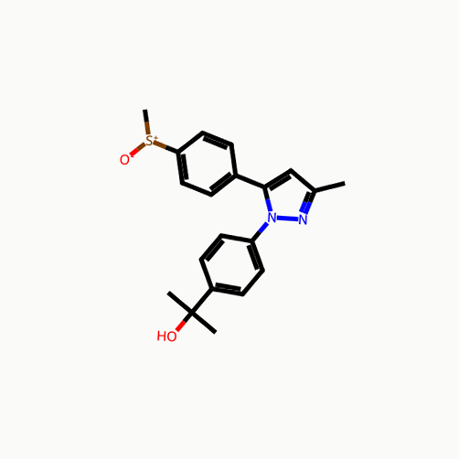 Cc1cc(-c2ccc([S+](C)[O-])cc2)n(-c2ccc(C(C)(C)O)cc2)n1